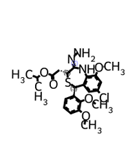 COc1cc(Cl)cc2c1N/C(=N\N)[C@@H](CC(=O)OC(C)C)S[C@@H]2c1cccc(OC)c1OC